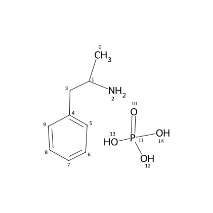 CC(N)Cc1ccccc1.O=P(O)(O)O